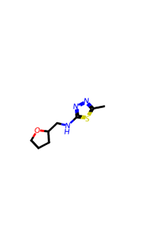 Cc1nnc(NCC2CCCO2)s1